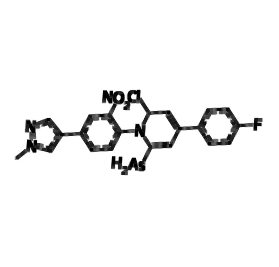 Cn1cc(-c2ccc(N3C([AsH2])=CC(c4ccc(F)cc4)=CC3Cl)c([N+](=O)[O-])c2)cn1